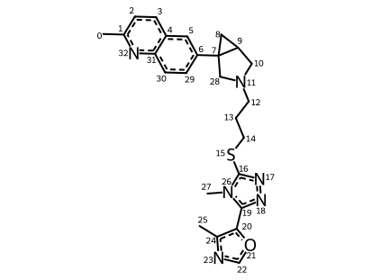 Cc1ccc2cc(C34CC3CN(CCCSc3nnc(-c5ocnc5C)n3C)C4)ccc2n1